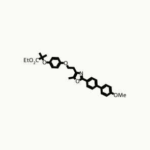 CCOC(=O)C(C)(C)Oc1ccc(OCCc2nc(-c3ccc(-c4ccc(OC)cc4)cc3)oc2C)cc1